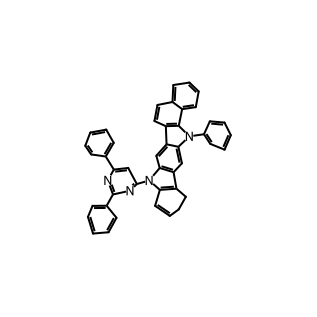 C1=Cc2c(c3cc4c(cc3n2-c2cc(-c3ccccc3)nc(-c3ccccc3)n2)c2ccc3ccccc3c2n4-c2ccccc2)CC1